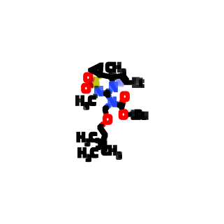 CC/C=C/[C@@]1(C)N=C(N(COCC[Si](C)(C)C)C(=O)OC(C)(C)C)N(C)S(=O)(=O)C12CC2